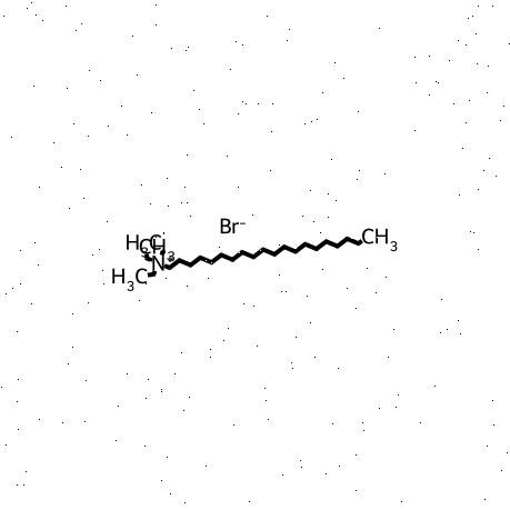 CCCCCCCCCCCCCCCCCCCC[N+](CC)(CC)CC.[Br-]